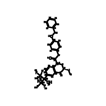 CC[C@H]1CN(C(=O)Cc2ccc(OCc3ccccc3)cc2)c2ccc(C(O)(C(F)(F)F)C(F)(F)F)cc2S1